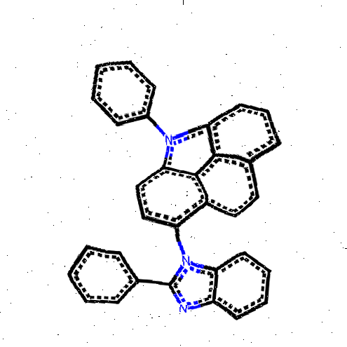 c1ccc(-c2nc3ccccc3n2-c2ccc3c4c2ccc2cccc(c24)n3-c2ccccc2)cc1